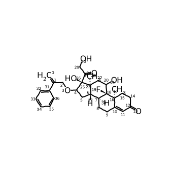 C=C(COC1C[C@H]2[C@@H]3CCC4=CC(=O)CC[C@]4(C)[C@@]3(F)C(O)C[C@]2(C)[C@@]1(O)C(=O)CO)c1ccccc1